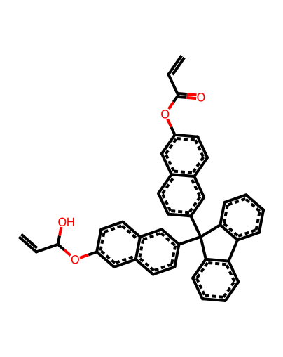 C=CC(=O)Oc1ccc2cc(C3(c4ccc5cc(OC(O)C=C)ccc5c4)c4ccccc4-c4ccccc43)ccc2c1